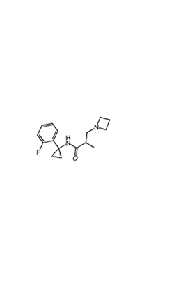 CC(CN1CCC1)C(=O)NC1(c2ccccc2F)CC1